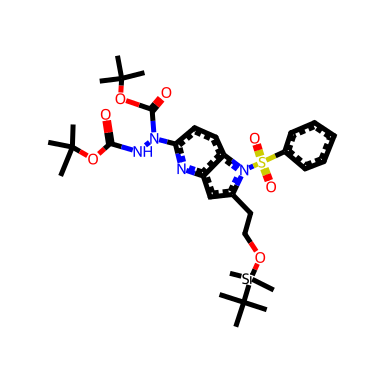 CC(C)(C)OC(=O)NN(C(=O)OC(C)(C)C)c1ccc2c(cc(CCO[Si](C)(C)C(C)(C)C)n2S(=O)(=O)c2ccccc2)n1